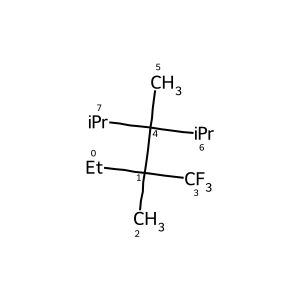 CCC(C)(C(F)(F)F)C(C)(C(C)C)C(C)C